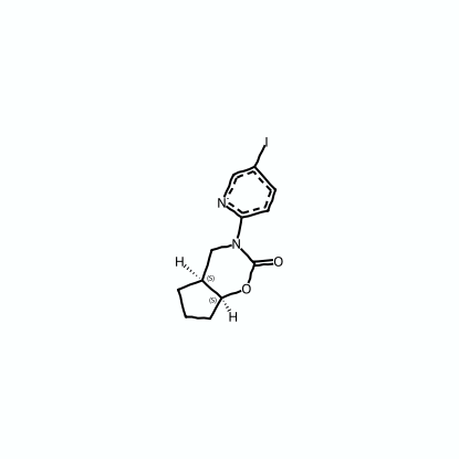 O=C1O[C@H]2CCC[C@H]2CN1c1ccc(I)cn1